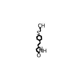 C#CCSc1ccc(C=Cc2ccc(=O)[nH]n2)cc1